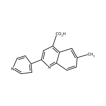 Cc1ccc2nc(-c3ccncc3)cc(C(=O)O)c2c1